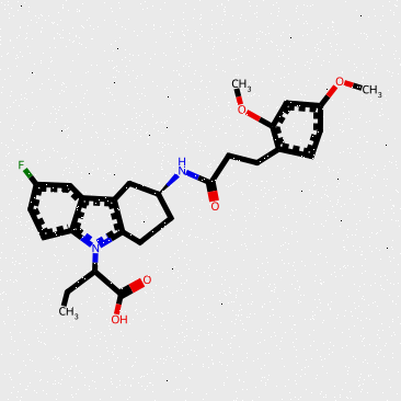 CCC(C(=O)O)n1c2c(c3cc(F)ccc31)C[C@@H](NC(=O)CCc1ccc(OC)cc1OC)CC2